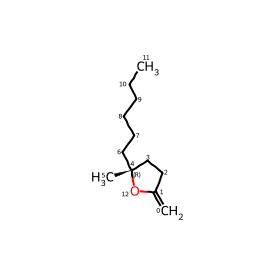 C=C1CC[C@@](C)(CCCCCC)O1